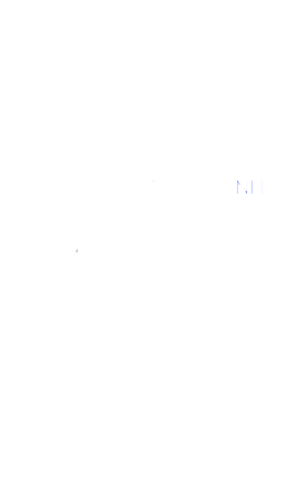 Cc1cccc(-c2c[nH]c3ccccc23)c1